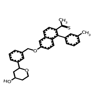 CC(=S)c1ccc2cc(OCc3cccc(C4CC(O)CCO4)c3)ccc2c1-c1cccc(C)c1